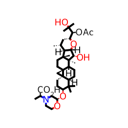 CC(=O)O[C@@H]([C@H]1C[C@@H](C)[C@H]2[C@H](O1)[C@H](O)[C@@]1(C)[C@@H]3CC[C@H]4C(C)(C)[C@@H](O[C@H]5CN([C@@H](C)C(=O)O)CCO5)CC[C@@]45C[C@@]35CC[C@]21C)C(C)(C)O